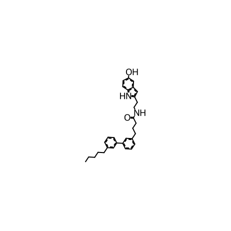 CCCCCc1cccc(-c2cccc(CCCC(=O)NCCc3cc4cc(O)ccc4[nH]3)c2)c1